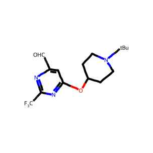 CC(C)(C)N1CCC(Oc2cc(C=O)nc(C(F)(F)F)n2)CC1